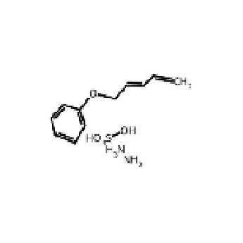 C=CC=CCOc1ccccc1.N.N.O=S(=O)(O)O